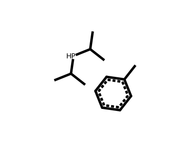 CC(C)PC(C)C.Cc1ccccc1